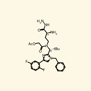 CC(=O)OCC(=O)N(CC[C@H](N)C(=O)NN)[C@@H](c1nc(-c2cc(F)ccc2F)cn1Cc1ccccc1)C(C)(C)C